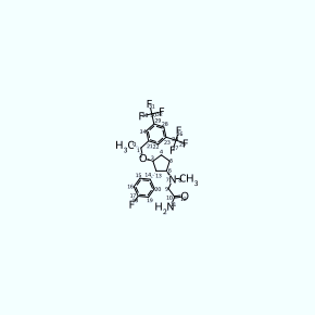 C[C@@H](O[C@H]1CC[C@@H](N(C)CC(N)=O)[C@@H]1c1ccc(F)cc1)c1cc(C(F)(F)F)cc(C(F)(F)F)c1